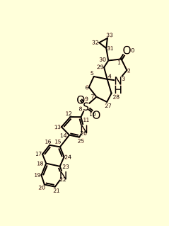 O=C1CNC2(CCC(S(=O)(=O)c3ccc(-c4ccc5cccnc5c4)cn3)CC2)CC1C1CC1